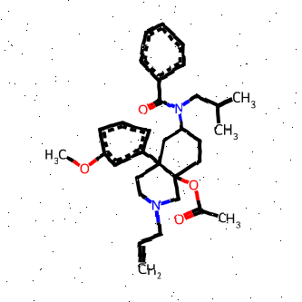 C=CCN1CCC2(c3cccc(OC)c3)CC(N(CC(C)C)C(=O)c3ccccc3)CCC2(OC(C)=O)C1